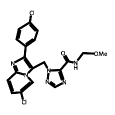 COCNC(=O)c1ncnn1Cc1c(-c2ccc(Cl)cc2)nc2ccc(Cl)cn12